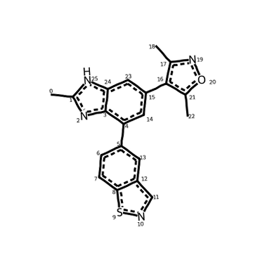 Cc1nc2c(-c3ccc4sncc4c3)cc(-c3c(C)noc3C)cc2[nH]1